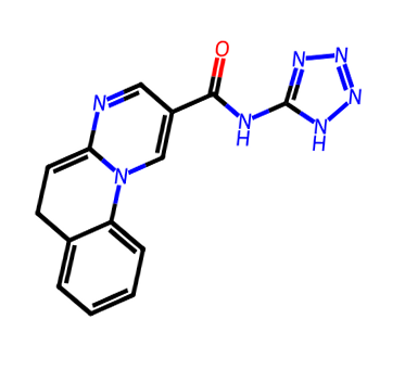 O=C(Nc1nnn[nH]1)C1=CN2C(=CCc3ccccc32)N=C1